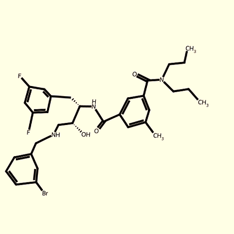 CCCN(CCC)C(=O)c1cc(C)cc(C(=O)N[C@@H](Cc2cc(F)cc(F)c2)[C@H](O)CNCc2cccc(Br)c2)c1